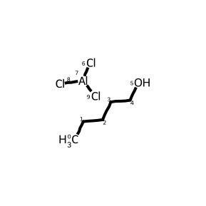 CCCCCO.[Cl][Al]([Cl])[Cl]